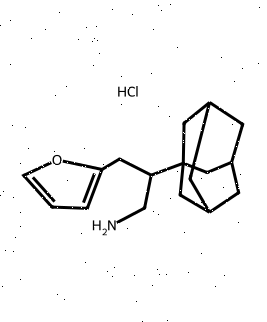 Cl.NCC(Cc1ccco1)C12CC3CC(CC(C3)C1)C2